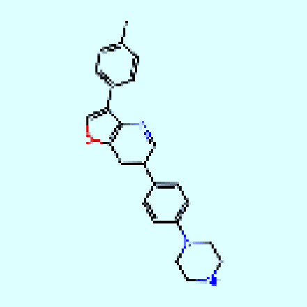 Cc1ccc(-c2coc3cc(-c4ccc(N5CCNCC5)cc4)cnc23)cc1